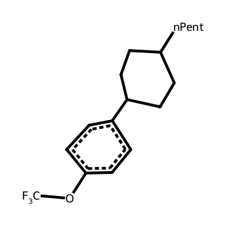 CCCCCC1CCC(c2ccc(OC(F)(F)F)cc2)CC1